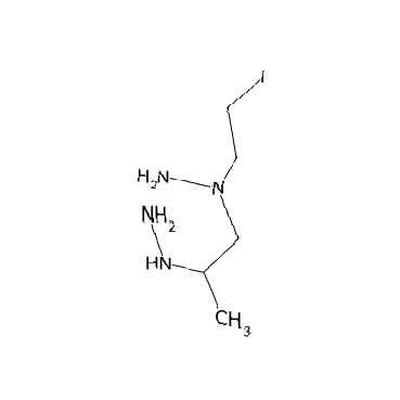 CC(CN(N)CCI)NN